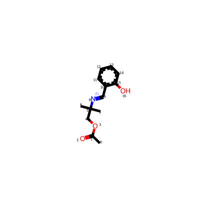 CC(=O)OCC(C)(C)/N=C/c1ccccc1O